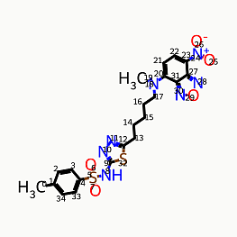 Cc1ccc(S(=O)(=O)Nc2nnc(CCCCCN(C)c3ccc([N+](=O)[O-])c4nonc34)s2)cc1